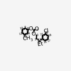 CCN(CCOC(=O)Oc1cccc(C)c1)c1cccc(Cl)c1